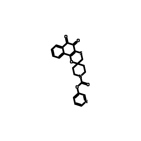 O=C1C(=O)c2ccccc2C2=C1SCC1(CCN(C(=O)Oc3cccnc3)CC1)O2